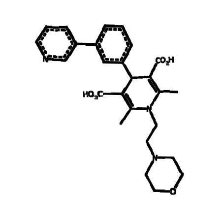 CC1=C(C(=O)O)C(c2cccc(-c3cccnc3)c2)C(C(=O)O)=C(C)N1CCN1CCOCC1